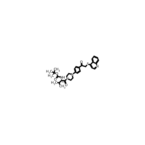 CC(C)[C@H](NC(=O)OC(C)(C)C)C(=O)N1CCN(c2ccc(C(=O)CSc3ccnc4ccccc34)cc2)CC1